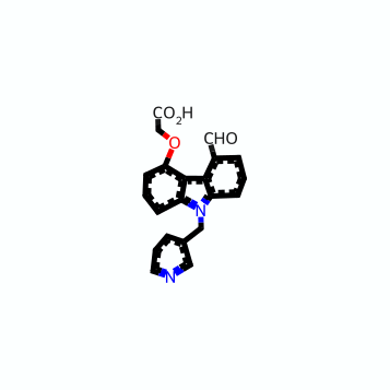 O=Cc1cccc2c1c1c(OCC(=O)O)cccc1n2Cc1cccnc1